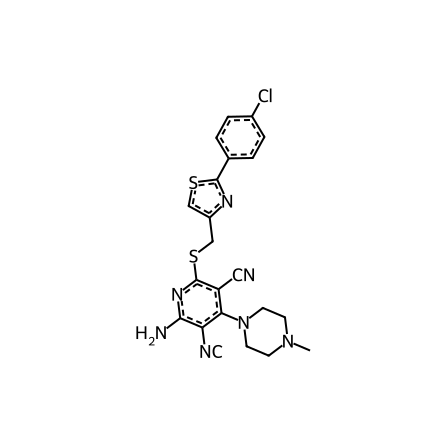 [C-]#[N+]c1c(N)nc(SCc2csc(-c3ccc(Cl)cc3)n2)c(C#N)c1N1CCN(C)CC1